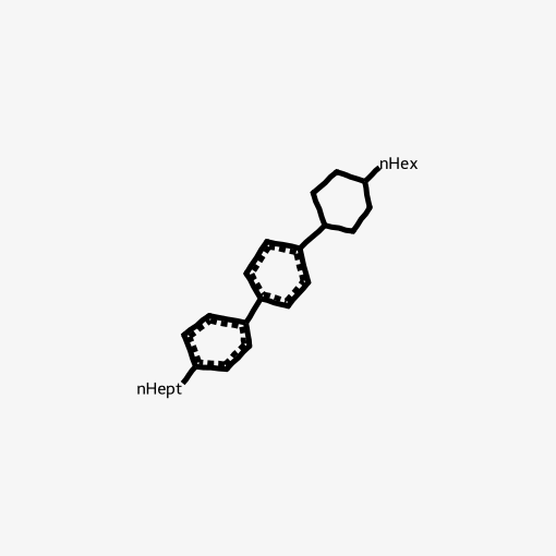 CCCCCCCc1ccc(-c2ccc(C3CCC(CCCCCC)CC3)cc2)cc1